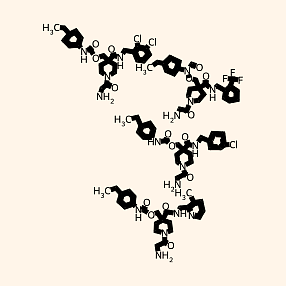 CCc1ccc(N(C=O)OCC2(C(=O)NCc3ccccc3C(F)(F)F)CCN(C(=O)CN)CC2)cc1.CCc1ccc(NC(=O)OCC2(C(=O)NCc3ccc(Cl)cc3)CCN(C(=O)CN)CC2)cc1.CCc1ccc(NC(=O)OCC2(C(=O)NCc3cccc(Cl)c3Cl)CCN(C(=O)CN)CC2)cc1.CCc1ccc(NC(=O)OCC2(C(=O)NCc3ncccc3C)CCN(C(=O)CN)CC2)cc1